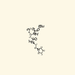 CC(C)C[C@H](CC(=O)NCCN1CCCC1)NC(=O)OC(C)(C)C